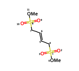 COS(=O)(=O)CC=CCS(=O)(=O)OC